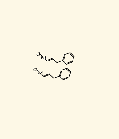 [Cl][Pd][CH]=CCc1ccccc1.[Cl][Pd][CH]=CCc1ccccc1